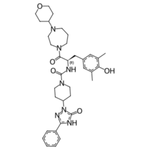 Cc1cc(C[C@@H](NC(=O)N2CCC(n3nc(-c4ccccc4)[nH]c3=O)CC2)C(=O)N2CCCN(C3CCOCC3)CC2)cc(C)c1O